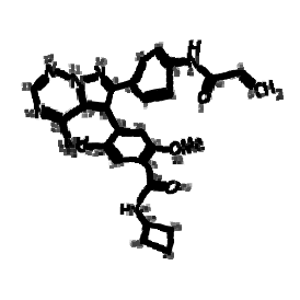 C=CC(=O)Nc1ccc(-c2nn3ncnc(N)c3c2-c2cc(OC)c(C(=O)NC3CCC3)cc2C)cc1